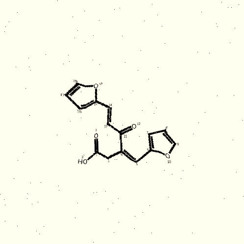 O=C(O)CC(=Cc1ccco1)C(=O)C=Cc1ccco1